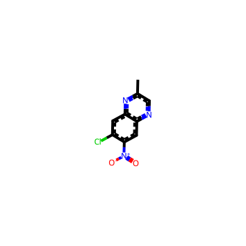 Cc1cnc2cc([N+](=O)[O-])c(Cl)cc2n1